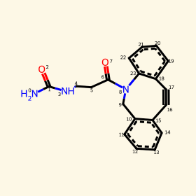 NC(=O)NCCC(=O)N1Cc2ccccc2C#Cc2ccccc21